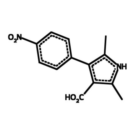 Cc1[nH]c(C)c(-c2ccc([N+](=O)[O-])cc2)c1C(=O)O